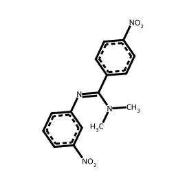 CN(C)C(=Nc1cccc([N+](=O)[O-])c1)c1ccc([N+](=O)[O-])cc1